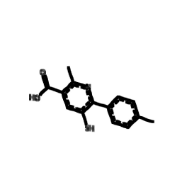 Cc1ccc(-c2nc(C)c(C(=O)O)cc2S)cc1